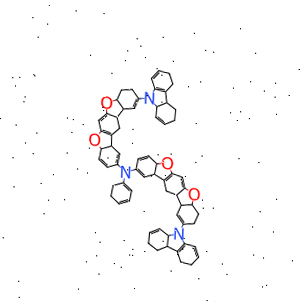 C1=CCCC(N(C2=CC3C4=C(C=C5OC6CCC(N7C8=C(CCC=C8)C8CCC=CC87)=CC6C5C4)OC3C=C2)C2=CC3C4=C(C=C5OC6CCC(N7C8=C(CCC=C8)C8CCC=CC87)=CC6C5C4)OC3C=C2)=C1